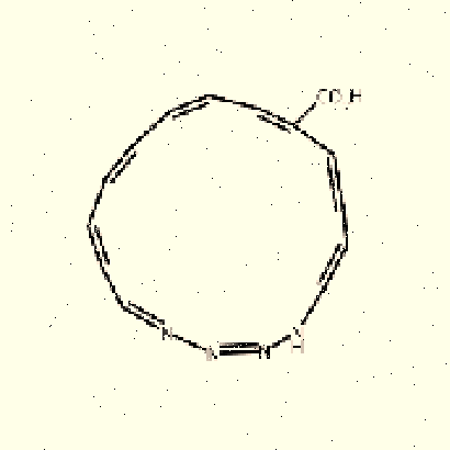 O=C(O)c1ccccccccnnn[nH]cccc1